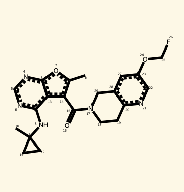 Cc1oc2ncnc(NC3(C)CC3)c2c1C(=O)N1CCc2ncc(OCF)cc2C1